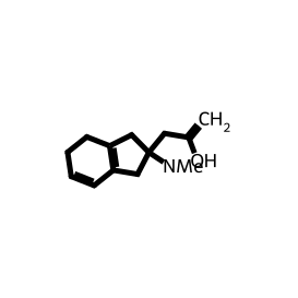 C=C(O)CC1(NC)CC2=C(CCC=C2)C1